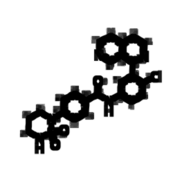 O=C(Nc1ccc(Cl)c(-c2nccc3ccncc23)c1)c1ccc(N2CCCNS2(=O)=O)cc1